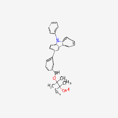 CC(C)(O)C(C)(C)OBc1cccc(-c2ccc3c(c2)c2ccccc2n3-c2ccccc2)c1